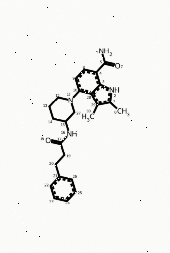 Cc1[nH]c2c(C(N)=O)ccc(N3CCCC(NC(=O)CCc4ccccc4)C3)c2c1C